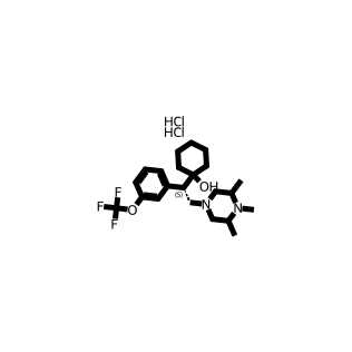 CC1CN(C[C@H](c2cccc(OC(F)(F)F)c2)C2(O)CCCCC2)CC(C)N1C.Cl.Cl